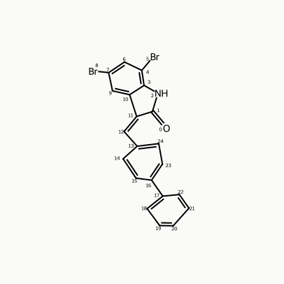 O=C1Nc2c(Br)cc(Br)cc2C1=Cc1ccc(-c2ccccc2)cc1